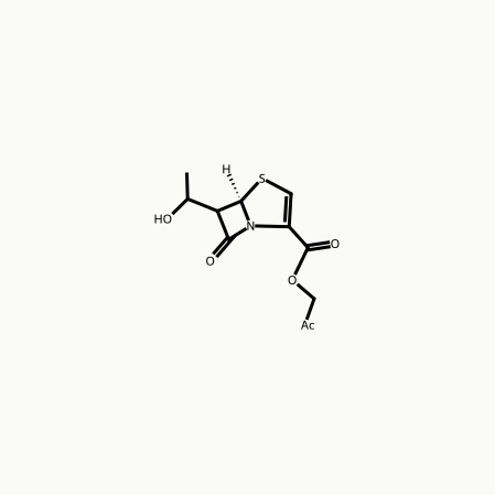 CC(=O)COC(=O)C1=CS[C@@H]2C(C(C)O)C(=O)N12